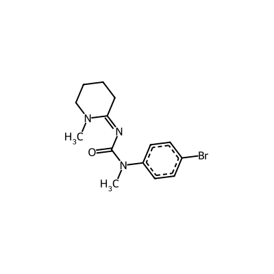 CN1CCCCC1=NC(=O)N(C)c1ccc(Br)cc1